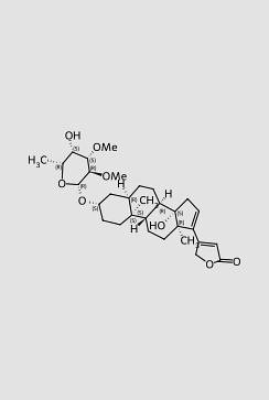 CO[C@H]1[C@H](O[C@H]2CC[C@@]3(C)[C@H](CC[C@@H]4[C@@H]3CC[C@]3(C)C(C5=CC(=O)OC5)=CC[C@]43O)C2)O[C@H](C)[C@H](O)[C@@H]1OC